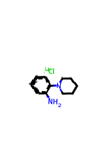 Cl.Nc1ccccc1N1CCCCC1